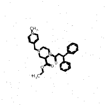 CCOC(=O)C1CN(CC2=CCN(C)C=C2)CCN1C(=O)CC(c1ccccc1)c1ccccc1